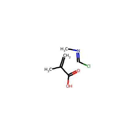 C=C(C)C(=O)O.CN=CCl